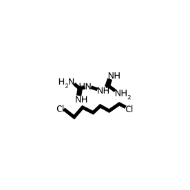 ClCCCCCCCl.N=C(N)NNC(=N)N